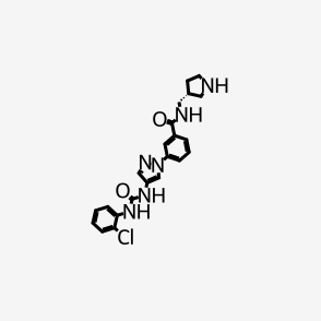 O=C(Nc1cnn(-c2cccc(C(=O)NC[C@@H]3CCNC3)c2)c1)Nc1ccccc1Cl